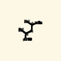 CCCCC(CC)CC(C=O)CC